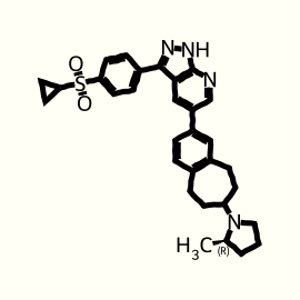 C[C@@H]1CCCN1C1CCc2ccc(-c3cnc4[nH]nc(-c5ccc(S(=O)(=O)C6CC6)cc5)c4c3)cc2CC1